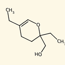 CCC1=COC(CC)(CO)CC1